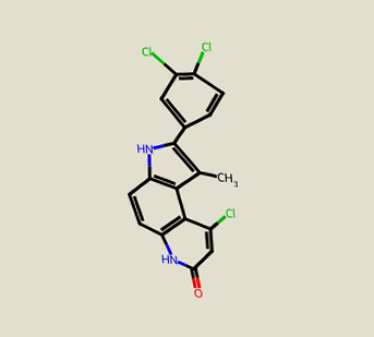 Cc1c(-c2ccc(Cl)c(Cl)c2)[nH]c2ccc3[nH]c(=O)cc(Cl)c3c12